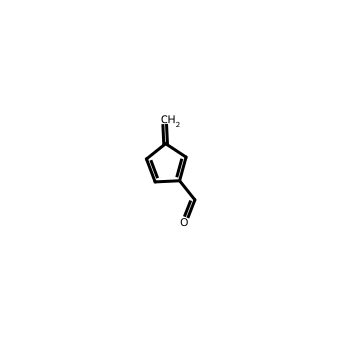 C=C1C=CC(C=O)=C1